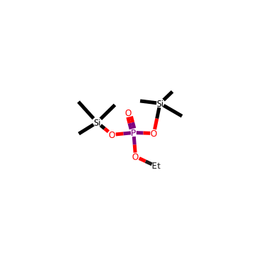 CCOP(=O)(O[Si](C)(C)C)O[Si](C)(C)C